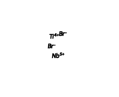 [Br-].[Br-].[Nb+5].[Ti+4]